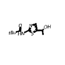 CC(O)c1cnc(NC(=O)C(C)(C)C)s1